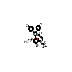 CCOc1cc(C(C)(C)C)ccc1C1=N[C@@H](c2ccc(Cl)cc2)[C@@H](c2ccc(Cl)cc2)N1C(=O)N1CCN(CC(=O)N(C)C)CC1.Cl